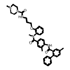 Cc1ccc(-c2ccccc2)c(C(=O)Nc2ccc(C(=O)N(C)c3ccccc3OCCCNC(=O)N3CCN(C)CC3)cc2C)c1